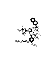 COCCCOc1cc(C(=O)N(C[C@@H]2CN(C(=O)OC(C)(C)C)C[C@H]2CN(C)C(=O)C2CCc3ccccc3C2)C(C)C)ccc1OC